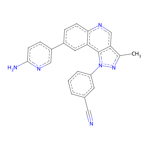 Cc1nn(-c2cccc(C#N)c2)c2c1cnc1ccc(-c3ccc(N)nc3)cc12